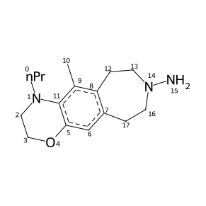 CCCN1CCOc2cc3c(c(C)c21)CCN(N)CC3